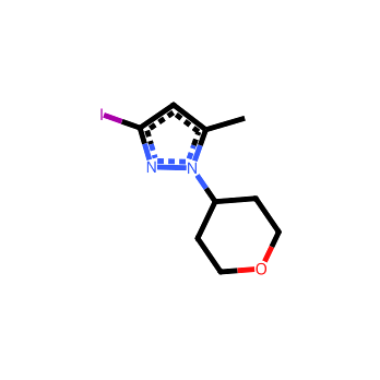 Cc1cc(I)nn1C1CCOCC1